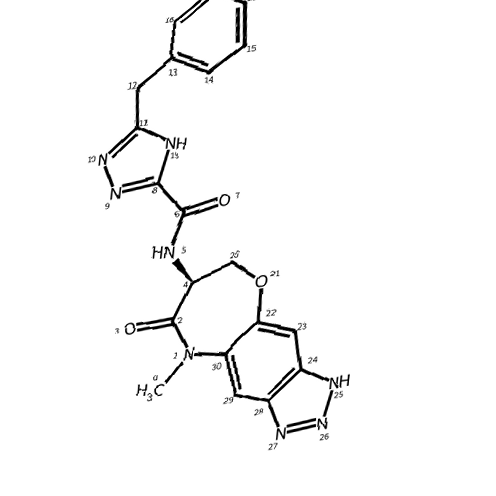 CN1C(=O)[C@@H](NC(=O)c2nnc(Cc3ccccc3)[nH]2)COc2cc3[nH]nnc3cc21